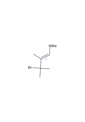 CN/C=C(\C)C(C)(C)C(C)C